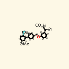 COc1ccc(F)c(-c2ccc(COc3cccc([C@@H](CC(=O)O)C(C)C)c3)cc2C(C)(C)C)c1